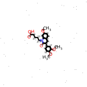 COc1ccc2cc(-c3ccc(OC)c(OC)c3)c(=O)n(CCCCC(=O)O)c2c1